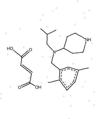 Cc1ccc(C)c(CN(CC(C)C)C2CCNCC2)c1.O=C(O)C=CC(=O)O